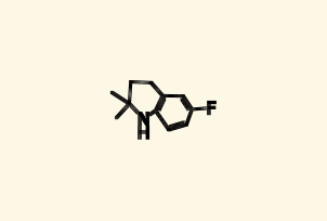 CC1(C)CCc2cc(F)ccc2N1